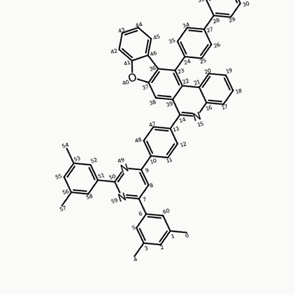 Cc1cc(C)cc(-c2cc(-c3ccc(-c4nc5ccccc5c5c(-c6ccc(-c7ccccc7)cc6)c6c(cc45)oc4ccccc46)cc3)nc(-c3cc(C)cc(C)c3)n2)c1